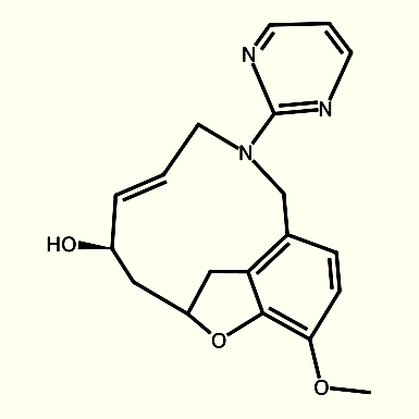 COc1ccc2c3c1OC(C3)C[C@@H](O)/C=C/CN(c1ncccn1)C2